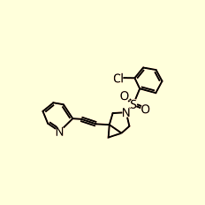 O=S(=O)(c1ccccc1Cl)N1CC2CC2(C#Cc2ccccn2)C1